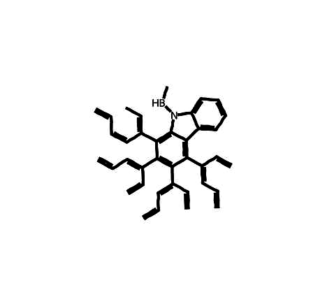 C=C/C=C\C(=C/C)c1c(/C(C=C)=C/C=C)c(/C(C=C)=C/C=C)c(/C(C=C)=C/C=C)c2c3ccccc3n(BC)c12